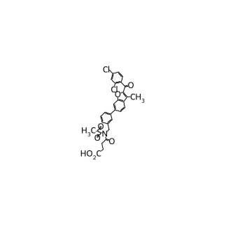 Cc1c(C(=O)c2ccc(Cl)cc2Cl)oc2cc(-c3cccc(CN(C(=O)CCC(=O)O)S(C)(=O)=O)c3)ccc12